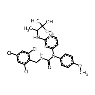 COc1ccc(N(C(=O)NCc2c(Cl)cc(Cl)cc2Cl)c2ccnc(NC(C)C(C)(C)O)n2)cc1